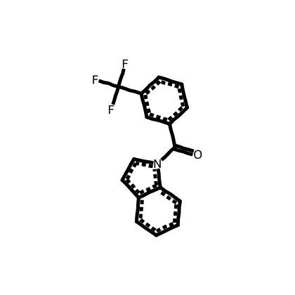 O=C(c1cccc(C(F)(F)F)c1)n1ccc2ccccc21